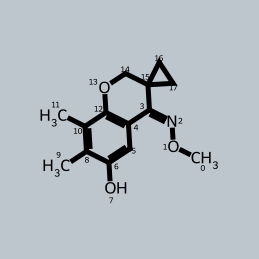 CON=C1c2cc(O)c(C)c(C)c2OCC12CC2